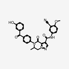 COc1ccc(NC(=O)c2cnn3c2C(=O)N(c2ccc(C(=O)c4cccc(O)c4)cc2)C(C)C3)cc1C#N